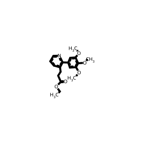 CCOC(=O)CCc1cccnc1-c1cc(OC)c(OC)c(OC)c1